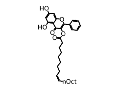 CCCCCCCC/C=C\CCCCCCCC(=O)Oc1c(-c2ccccc2)oc2cc(O)cc(O)c2c1=O